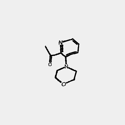 CC(=O)c1ncccc1N1CCOCC1